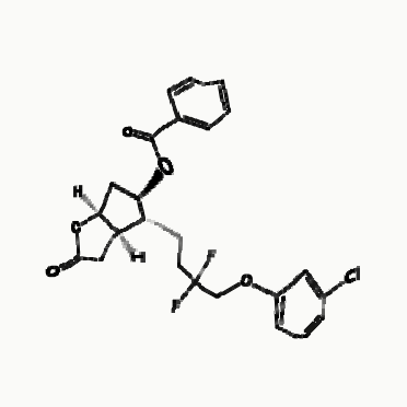 O=C1C[C@@H]2[C@@H](CCC(F)(F)COc3cccc(Cl)c3)[C@H](OC(=O)c3ccccc3)C[C@@H]2O1